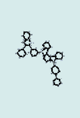 c1ccc(-c2ccc(-n3c4ccccc4c4c5c6ccccc6n(-c6cccc(-c7nc8ccccc8nc7-c7ccccc7)c6)c5ccc43)cc2)cc1